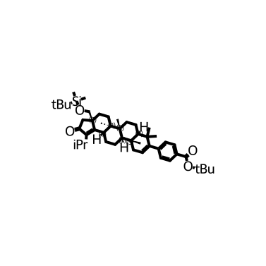 CC(C)C1=C2[C@H]3CC[C@@H]4[C@@]5(C)CC=C(c6ccc(C(=O)OC(C)(C)C)cc6)C(C)(C)[C@@H]5CC[C@@]4(C)[C@]3(C)CC[C@@]2(CO[Si](C)(C)C(C)(C)C)CC1=O